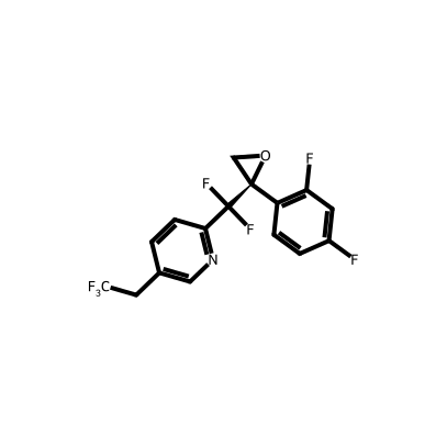 Fc1ccc([C@]2(C(F)(F)c3ccc(CC(F)(F)F)cn3)CO2)c(F)c1